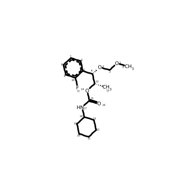 COCO[C@@H](c1ccccc1F)[C@H](C)OC(=O)NC1CCCCC1